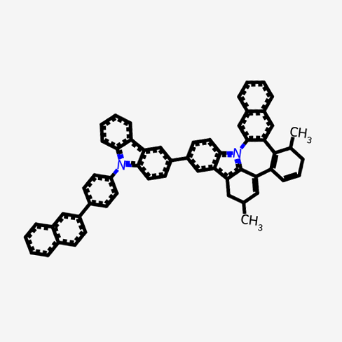 CC1C=C2C3=C(c4cc5ccccc5cc4-n4c2c(c2cc(-c5ccc6c(c5)c5ccccc5n6-c5ccc(-c6ccc7ccccc7c6)cc5)ccc24)C1)C(C)CC=C3